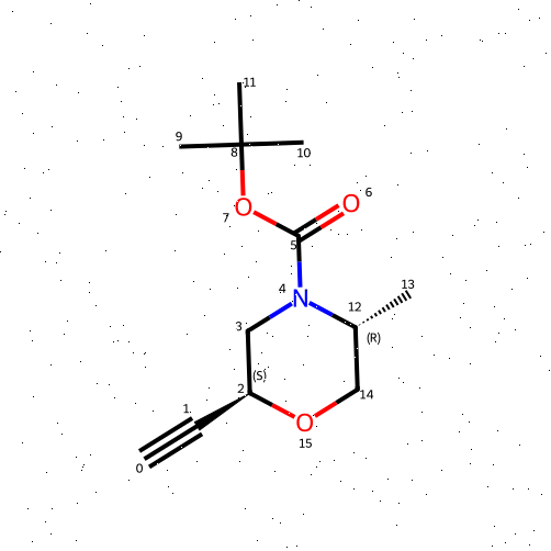 C#C[C@H]1CN(C(=O)OC(C)(C)C)[C@H](C)CO1